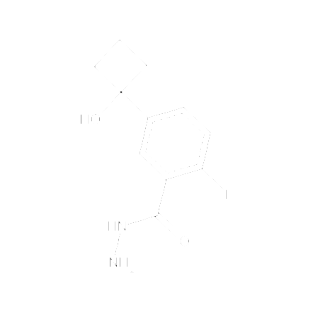 NNC(=O)c1cc(C2(O)CCC2)ccc1F